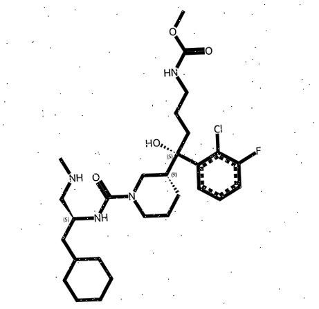 CNC[C@H](CC1CCCCC1)NC(=O)N1CCC[C@@H]([C@@](O)(CCCNC(=O)OC)c2cccc(F)c2Cl)C1